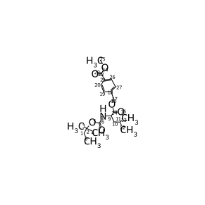 CCC(C)(C)OC(=O)NC(CC(C)C)C(=O)OCc1ccc(C(=O)OC)cc1